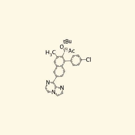 CC(=O)[C@@H](OC(C)(C)C)c1c(C)cc2cc(-c3nccn4ccnc34)ccc2c1-c1ccc(Cl)cc1